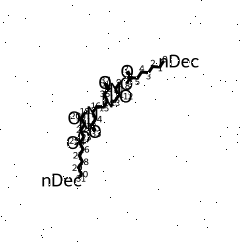 CCCCCCCCCCCCCCCC(=O)OCN1C(=O)CN(CCN2CC(=O)N(COC(=O)CCCCCCCCCCCCCCC)C(=O)C2)CC1=O